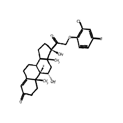 CC12C[C@H](O)[C@@]3(F)C(CCC4=CC(=O)CCC43C)C1CC[C@]2(O)C(=O)COc1ccc(F)cc1Cl